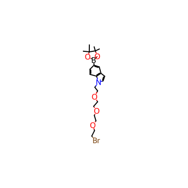 CC1(C)OB(c2ccc3c(ccn3CCOCCOCCOCCBr)c2)OC1(C)C